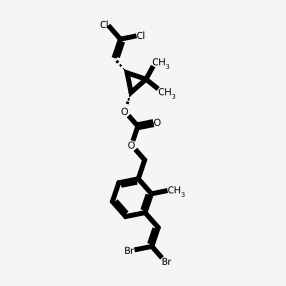 Cc1c(C=C(Br)Br)cccc1COC(=O)O[C@@H]1[C@H](C=C(Cl)Cl)C1(C)C